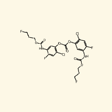 O=C(Nc1cc(OC(=O)Oc2cc(NC(=O)OCCCF)c(F)cc2Cl)c(Cl)cc1F)OCCCF